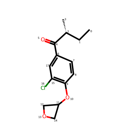 CC[C@@H](C)C(=O)c1ccc(OC2COC2)c(Cl)c1